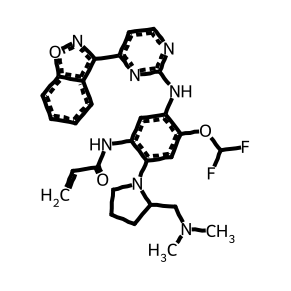 C=CC(=O)Nc1cc(Nc2nccc(-c3noc4ccccc34)n2)c(OC(F)F)cc1N1CCCC1CN(C)C